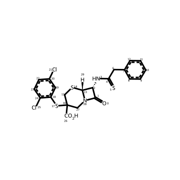 O=C1[C@@H](NC(=S)Cc2ccccc2)[C@H]2SCC(Sc3cc(Cl)ccc3Cl)(C(=O)O)CN12